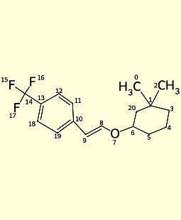 CC1(C)CCCC(O/C=C/c2ccc(C(F)(F)F)cc2)C1